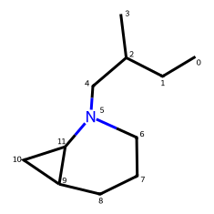 CCC(C)CN1CCCC2CC21